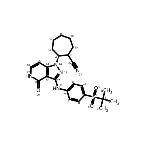 CC(C)(C)S(=O)(=O)c1ccc(Nc2nn([C@H]3CCCCCC3C#N)c3cc[nH]c(=O)c23)cc1